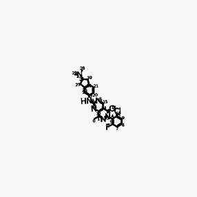 Cc1nn(-c2c(F)cccc2Cl)c(=O)c2cnc(Nc3ccc4c(c3)CC(N(C)C)C4)nc12